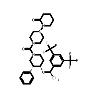 C[C@@H](O[C@H]1CCN(C(=O)N2CCN(N3CCCCC3=O)CC2)C[C@H]1c1ccccc1)c1cc(C(F)(F)F)cc(C(F)(F)F)c1